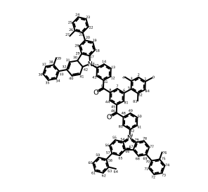 Cc1cc(C)c(-c2cc(C(=O)c3cccc(N4c5ccc(-c6ccccc6C)cc5C5C=C(c6ccccc6C)C=CC54)c3)cc(C(=O)c3cccc(-n4c5ccc(-c6ccccc6C)cc5c5cc(-c6ccccc6C)ccc54)c3)c2)c(C)c1